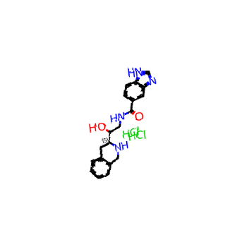 Cl.Cl.O=C(NCC(O)[C@@H]1Cc2ccccc2CN1)c1ccc2[nH]cnc2c1